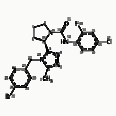 Cc1nnc([C@H]2CCCN2C(=O)Nc2ccc(Cl)cc2F)n1Cc1ccc(Br)cc1